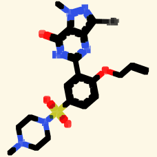 C=CCOc1ccc(S(=O)(=O)N2CCN(C)CC2)cc1-c1nc2c(CCC)nn(C)c2c(=O)[nH]1